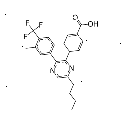 CCCCc1cnc(-c2ccc(C(F)(F)F)c(C)c2)c(C2C=CC(C(=O)O)=CC2)n1